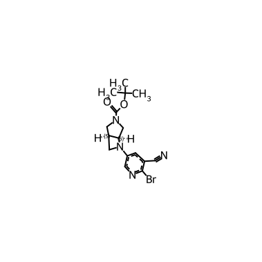 CC(C)(C)OC(=O)N1C[C@@H]2CN(c3cnc(Br)c(C#N)c3)[C@@H]2C1